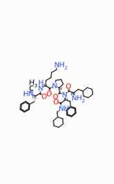 CN[C@@H](Cc1ccccc1)C(=O)N[C@@H](CCCCN)C(=O)N1CCC[C@H]1C(=O)N(C(=O)[C@H](N)CC1CCCCC1)[C@@H](Cc1ccccc1)C(=O)NCC1CCCCC1